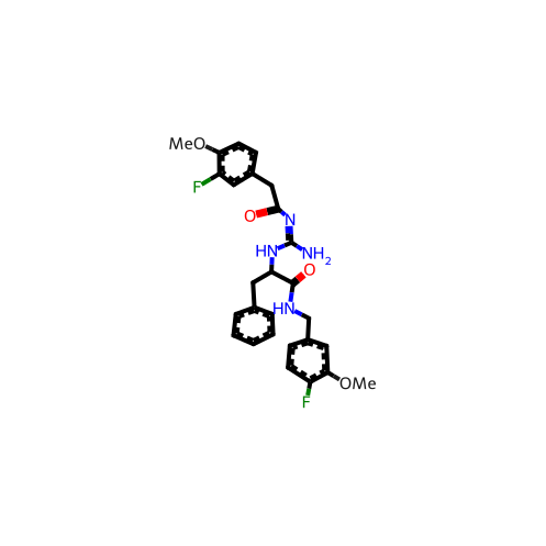 COc1ccc(CC(=O)N=C(N)NC(Cc2ccccc2)C(=O)NCc2ccc(F)c(OC)c2)cc1F